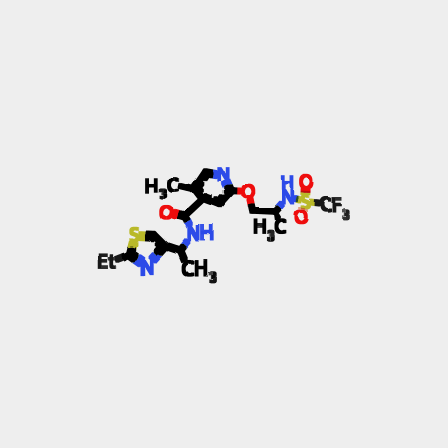 CCc1nc(C(C)NC(=O)c2cc(OC[C@H](C)NS(=O)(=O)C(F)(F)F)ncc2C)cs1